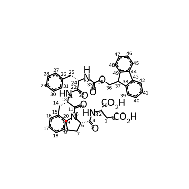 O=C(O)C[C@H](NC(=O)[C@@H]1CCCN1C(=O)[C@H](Cc1ccccc1)NC(=O)[C@H](Cc1ccccc1)NC(=O)OCC1c2ccccc2-c2ccccc21)C(=O)O